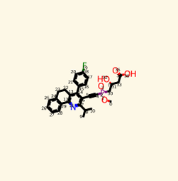 COP(=O)(C#Cc1c(C(C)C)nc2c(c1-c1ccc(F)cc1)CCc1ccccc1-2)C[C@@H](O)CC(=O)O